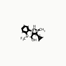 CN1NN(c2ccccc2OC(F)(F)F)C(CO)=C1C1CC1